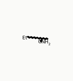 CC=CC=C(C=CCC=CC=CC=CCC)C(N)=O